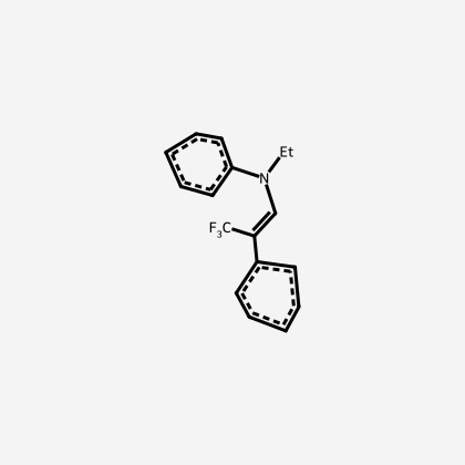 CCN(/C=C(/c1ccccc1)C(F)(F)F)c1ccccc1